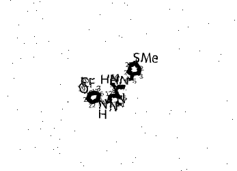 CSc1ccc(CN/C=C(\C=N)c2cc(Nc3ccc(OC(F)(F)F)cc3)ncn2)cc1